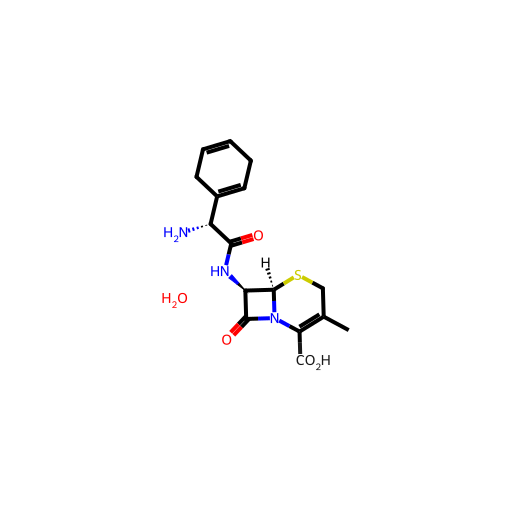 CC1=C(C(=O)O)N2C(=O)[C@@H](NC(=O)[C@H](N)C3=CCC=CC3)[C@H]2SC1.O